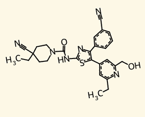 CCc1cc(-c2sc(NC(=O)N3CCC(C#N)(CC)CC3)nc2-c2cccc(C#N)c2)cc(CO)n1